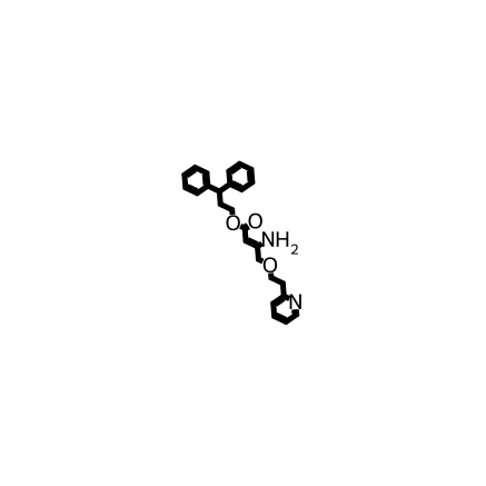 N/C(=C\C(=O)OCCC(c1ccccc1)c1ccccc1)COCCc1ccccn1